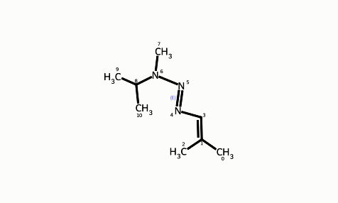 CC(C)=C/N=N/N(C)C(C)C